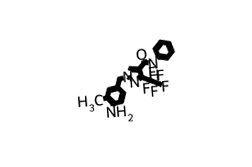 Cc1cc(Cn2cc(C(=O)Nc3ccccc3)c(C(F)(F)C(F)(F)F)n2)ccc1N